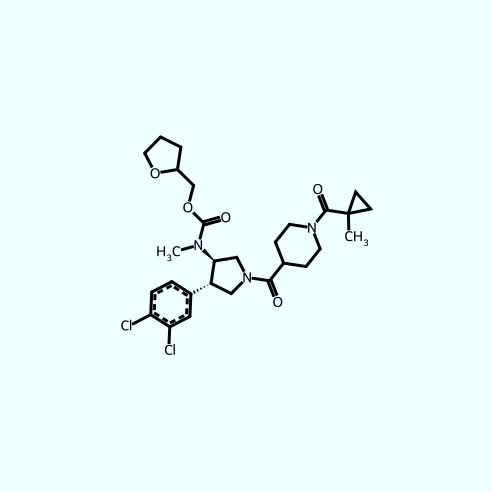 CN(C(=O)OCC1CCCO1)[C@H]1CN(C(=O)C2CCN(C(=O)C3(C)CC3)CC2)C[C@@H]1c1ccc(Cl)c(Cl)c1